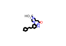 O=C1CC2CN(C(=O)O)CCN2c2cc(C=Cc3ccccc3)ccc2N1